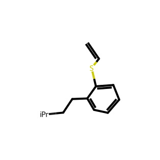 C=CSc1ccccc1CCC(C)C